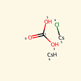 O=C(O)O.[Cl][Cs].[CsH]